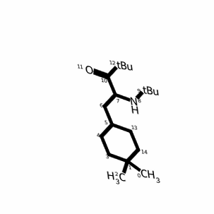 CC1(C)CCC(CC(NC(C)(C)C)C(=O)C(C)(C)C)CC1